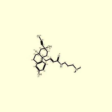 CN(C)CCCNC(=O)/C=C/C[C@]12CC[C@@](O)(C#CCl)C[C@@H]1CCc1cc(O)ccc12